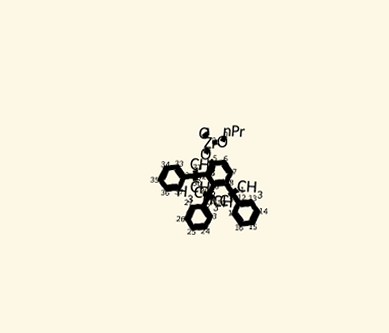 CCC[O][Zr](=[O])[O]c1ccc(C(C)(C)c2ccccc2)c(C(C)(C)c2ccccc2)c1C(C)(C)c1ccccc1